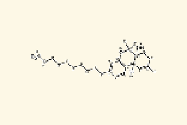 CC1=C[C@@H]2c3ccc(CCCCCCCCO[N+](=O)[O-])cc3OC(C)(C)[C@@]2(O)CC1